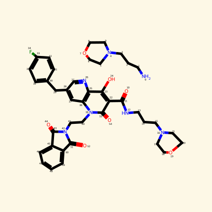 NCCCN1CCOCC1.O=C(NCCCN1CCOCC1)c1c(O)c2ncc(Cc3ccc(F)cc3)cc2n(CCN2C(=O)c3ccccc3C2=O)c1=O